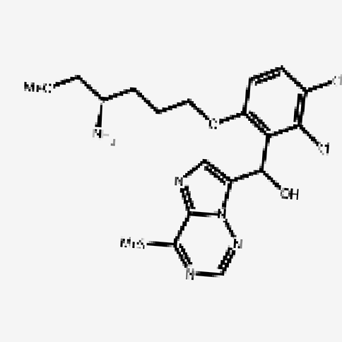 COC[C@H](N)CCCOc1ccc(Cl)c(Cl)c1C(O)c1cnc2c(SC)ncnn12